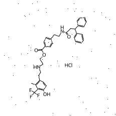 Cc1c(CCNCCOC(=O)c2ccc(CCNC(=O)CC(c3ccccc3)c3ccccc3)cc2)ccc(O)c1C(F)(F)F.Cl